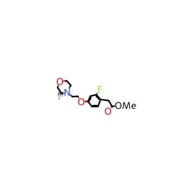 COC(=O)Cc1ccc(OCCN2CCOC[C@H]2C)cc1F